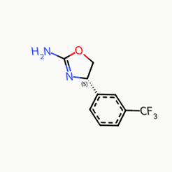 NC1=N[C@@H](c2cccc(C(F)(F)F)c2)CO1